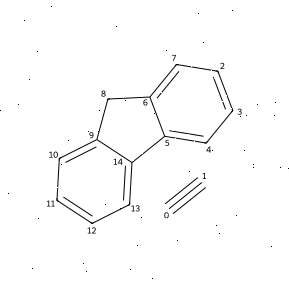 C#C.c1ccc2c(c1)Cc1ccccc1-2